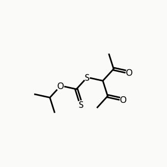 CC(=O)C(SC(=S)OC(C)C)C(C)=O